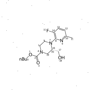 CCCCOC(=O)N1CCN(c2nc(C)ccc2F)[C@H](CO)C1